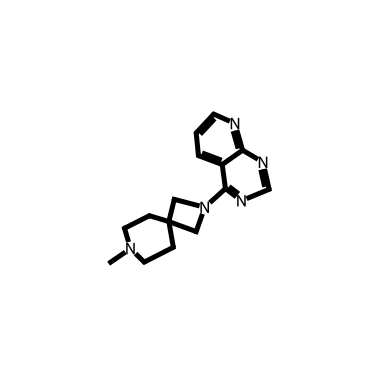 CN1CCC2(CC1)CN(c1ncnc3ncccc13)C2